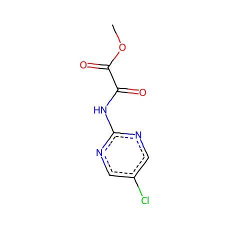 COC(=O)C(=O)Nc1ncc(Cl)cn1